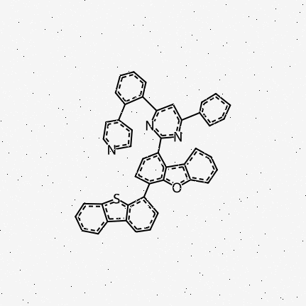 c1ccc(-c2cc(-c3ccccc3-c3ccncc3)nc(-c3ccc(-c4cccc5c4sc4ccccc45)c4oc5ccccc5c34)n2)cc1